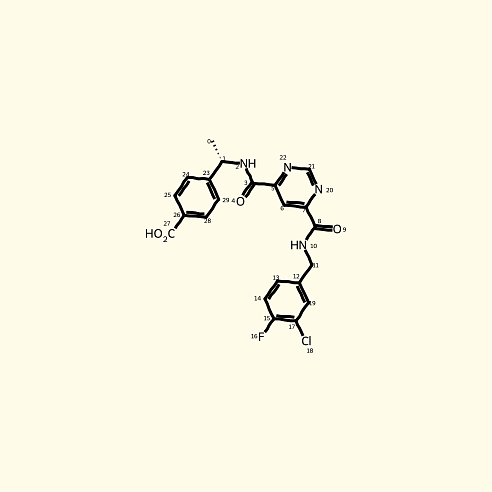 C[C@H](NC(=O)c1cc(C(=O)NCc2ccc(F)c(Cl)c2)ncn1)c1ccc(C(=O)O)cc1